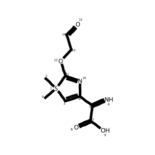 CS1(C)C=C(C(=N)C(=O)O)N=C1OCC=O